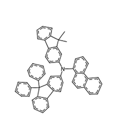 CC1(C)c2ccccc2-c2ccc(N(c3ccc4c(c3)C(c3ccccc3)(c3ccccc3)c3ccccc3-4)c3cccc4c3ccc3ccccc34)cc21